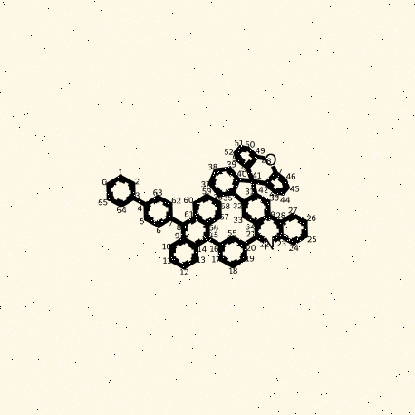 c1ccc(-c2ccc(-c3c4ccccc4c(-c4cccc(-c5nc6ccccc6c6cc7c(cc56)-c5ccccc5C75c6ccccc6Oc6ccccc65)c4)c4ccccc34)cc2)cc1